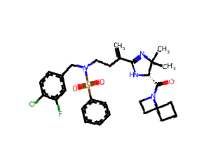 C=C(CCN(Cc1ccc(Cl)c(F)c1)S(=O)(=O)c1ccccc1)C1=NC(C)(C)[C@H](C(=O)N2CCC23CCC3)N1